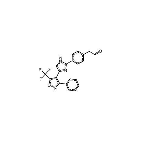 O=CCc1ccc(-c2nc(-c3c(-c4ccccc4)noc3C(F)(F)F)c[nH]2)cc1